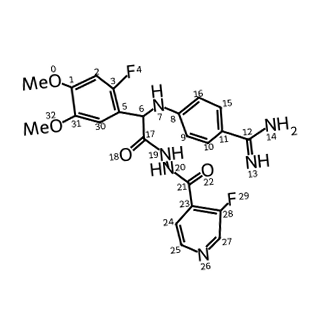 COc1cc(F)c(C(Nc2ccc(C(=N)N)cc2)C(=O)NNC(=O)c2ccncc2F)cc1OC